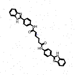 O=C(/C=C/CCC(=O)Nc1ccc(-c2nc3ccccc3[nH]2)cc1)Nc1ccc(-c2nc3ccccc3[nH]2)cc1